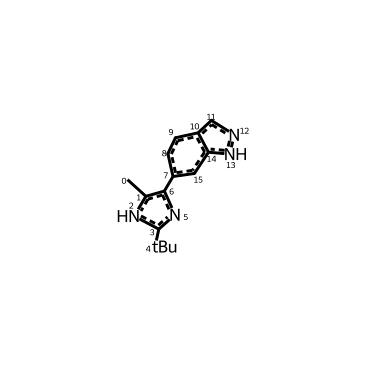 Cc1[nH]c(C(C)(C)C)nc1-c1ccc2cn[nH]c2c1